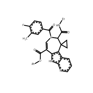 CCNC(=O)C1N(C(=O)c2ccc(F)c(C)c2)C=C(C(=O)OC(C)C)c2[nH]c3ncccc3c2C12CC2